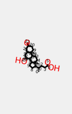 C[C@H](CCC(=O)O)C1CCC2C3C(CC[C@@]21C)[C@@]1(C)CCC(=O)CC1C[C@H]3O